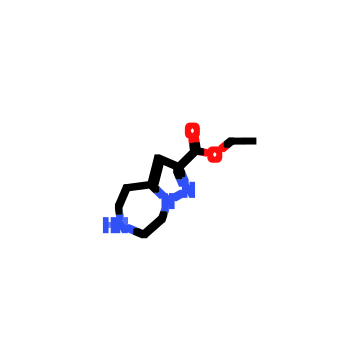 CCOC(=O)c1cc2n(n1)CCNCC2